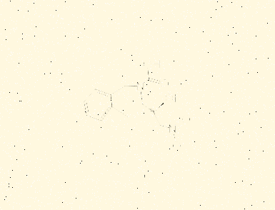 O=C(O)N1Cc2ccccc2C[C@H]1[C@@H](O)C[N+](=O)[O-]